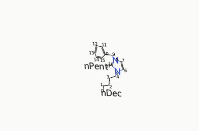 CCCCCCCCCCCCCCN1C=CN(Cc2ccccc2)C1CCCCC